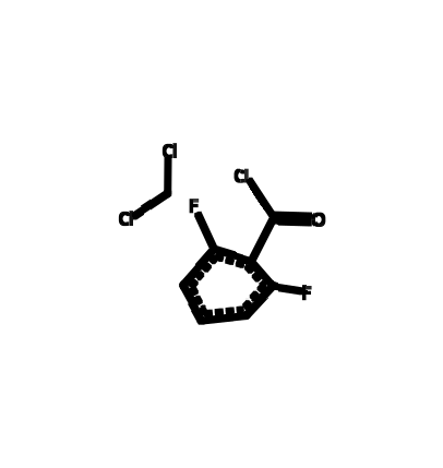 ClCCl.O=C(Cl)c1c(F)cccc1F